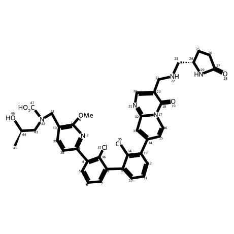 COc1nc(-c2cccc(-c3cccc(-c4ccn5c(=O)c(CNC[C@@H]6CCC(=O)N6)cnc5c4)c3Cl)c2Cl)ccc1CN(C[C@@H](C)O)C(=O)O